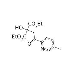 CCOC(=O)C(O)(CC(=O)c1ccc(C)cn1)C(=O)OCC